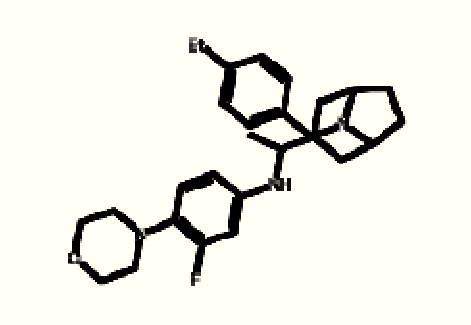 CCc1ccc(CN2C3CCC2CC(C(C)Nc2ccc(N4CCOCC4)c(F)c2)C3)cc1